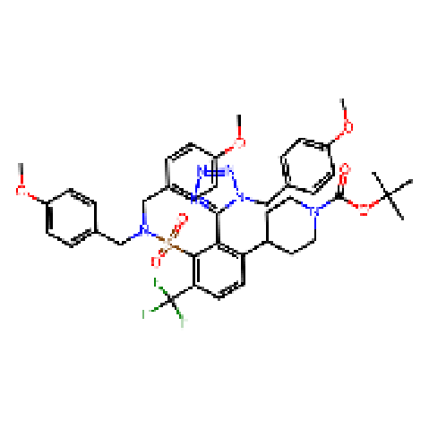 COc1ccc(CN(Cc2ccc(OC)cc2)S(=O)(=O)c2c(C(F)(F)F)ccc(C3CCN(C(=O)OC(C)(C)C)CC3)c2-c2nnnn2Cc2ccc(OC)cc2)cc1